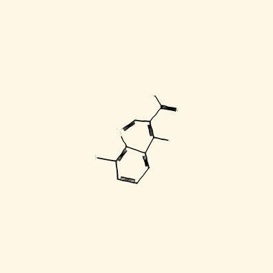 O=C(Cl)c1cnc2c(Cl)cccc2c1O